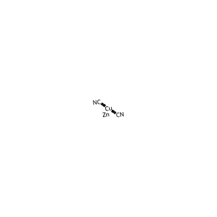 N#[C][Cu][C]#N.[Zn]